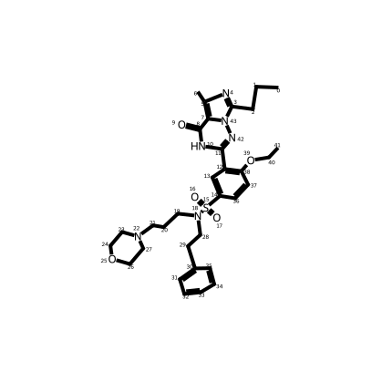 CCCc1nc(C)c2c(=O)[nH]c(-c3cc(S(=O)(=O)N(CCCN4CCOCC4)CCc4ccccc4)ccc3OCC)nn12